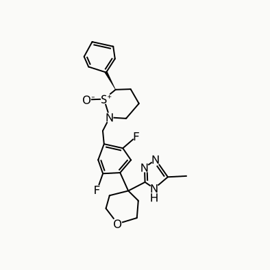 Cc1nnc(C2(c3cc(F)c(CN4CCC[C@H](c5ccccc5)[S+]4[O-])cc3F)CCOCC2)[nH]1